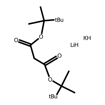 CC(C)(C)C(C)(C)OC(=O)CC(=O)OC(C)(C)C(C)(C)C.[KH].[LiH]